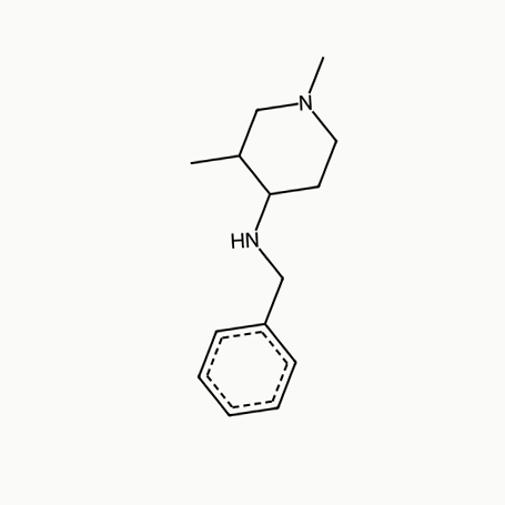 CC1CN(C)CCC1NCc1ccccc1